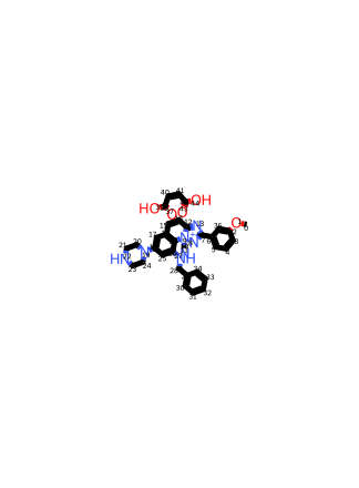 COc1cccc(C2=N[N+]3(C#N)C(=N2)C=Cc2cc(N4CCNCC4)cc(NCc4ccccc4)c23)c1.O=C(O)/C=C\C(=O)O